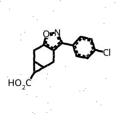 O=C(O)C1C2Cc3onc(-c4ccc(Cl)cc4)c3CC21